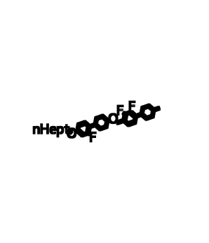 CCCCCCCOc1ccc(C2CCC(OCc3ccc(C4CCC(C)CC4)c(F)c3F)CC2)c(F)c1